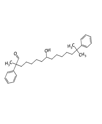 CC(C)(CCCCCC(O)CCCCCC(C)(C=O)c1ccccc1)c1ccccc1